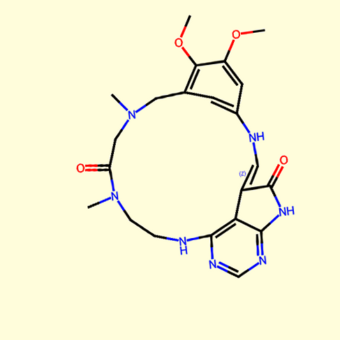 COc1cc2cc(c1OC)CN(C)CC(=O)N(C)CCNc1ncnc3c1/C(=C/N2)C(=O)N3